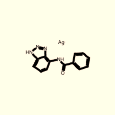 O=C(Nc1cccc2[nH]nnc12)c1ccccc1.[Ag]